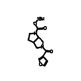 CC(C)(C)OC(=O)N1CCC2CN(C(=O)c3ccoc3)CC21